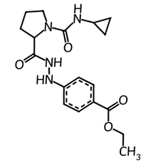 CCOC(=O)c1ccc(NNC(=O)C2CCCN2C(=O)NC2CC2)cc1